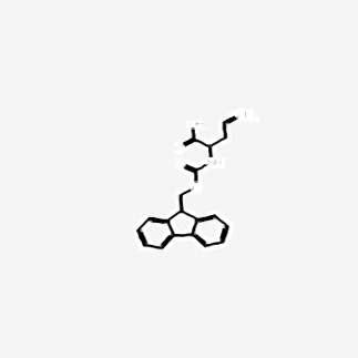 C=CCC(NC(=O)OCC1c2ccccc2-c2ccccc21)C(=O)O